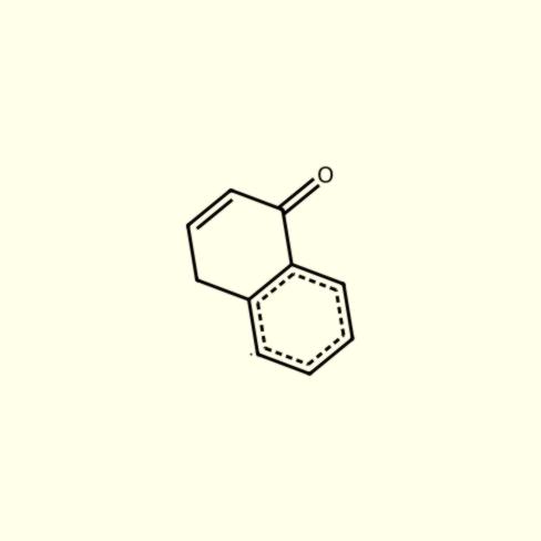 O=C1C=CCc2[c]cccc21